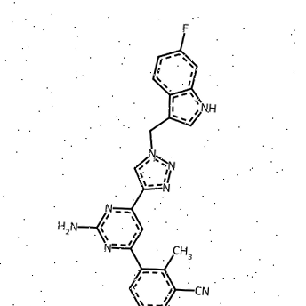 Cc1c(C#N)cccc1-c1cc(-c2cn(Cc3c[nH]c4cc(F)ccc34)nn2)nc(N)n1